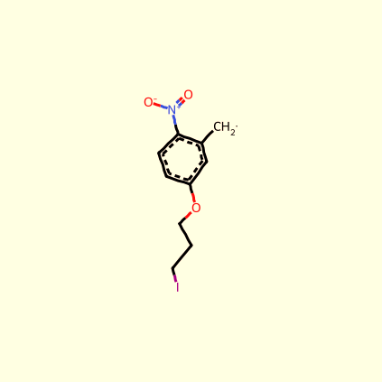 [CH2]c1cc(OCCCI)ccc1[N+](=O)[O-]